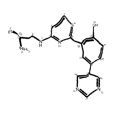 CC[C@H](N)CNc1ccnc(-c2cc(-c3cncnc3)ccc2O)n1